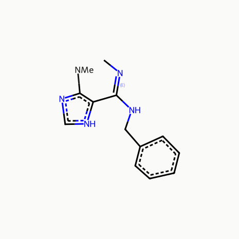 C/N=C(/NCc1ccccc1)c1[nH]cnc1NC